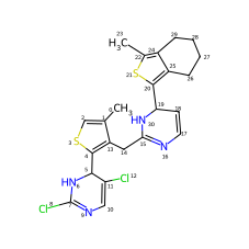 Cc1csc(C2NC(Cl)=NC=C2Cl)c1CC1=NC=CC(c2sc(C)c3c2CCCC3)N1